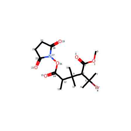 COC(=O)C(C(C)(C)Br)C(C)(C)C(C)C(=O)ON1C(=O)CCC1=O